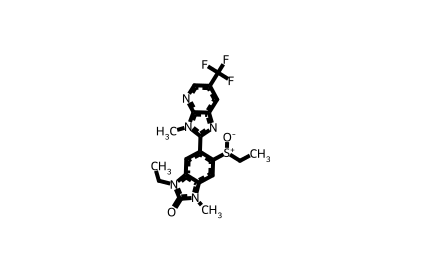 CCn1c(=O)n(C)c2cc([S+]([O-])CC)c(-c3nc4cc(C(F)(F)F)cnc4n3C)cc21